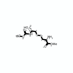 COC(=O)[C@@H](N)CSSC[C@H](NC(=O)OC(C)(C)C)C(=O)O